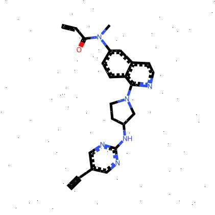 C#Cc1cnc(NC2CCN(c3nccc4cc(N(C)C(=O)C=C)ccc34)C2)nc1